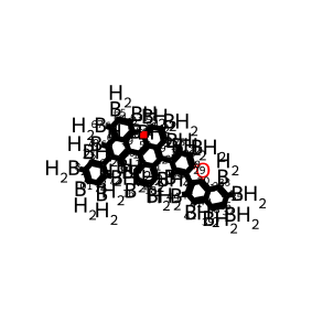 Bc1c(B)c(B)c(-c2c(B)c(-c3c4c(B)c(B)c(B)c(B)c4c(-c4c(B)c(B)c5oc6c7c(B)c(B)c(B)c(B)c7c(B)c(B)c6c5c4B)c4c(B)c(B)c(B)c(B)c34)c3c(B)c(B)c(B)c(B)c3c2B)c(B)c1B